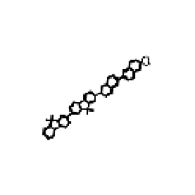 COc1ccc2cc(-c3ccc4cc(-c5ccc6c(c5)C(C)(C)c5cc(-c7ccc8c(c7)C(C)(C)c7ccccc7-8)ccc5-6)ccc4c3)ccc2c1